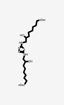 CCCCCCCCCCCCCCCCC(O)CNc1nnc(NCC(O)CCCCCCCCCCCCCCCC)s1